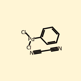 N#CC#N.[Cl][Pd]([Cl])[c]1ccccc1